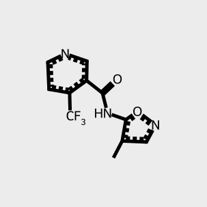 Cc1cnoc1NC(=O)c1cnccc1C(F)(F)F